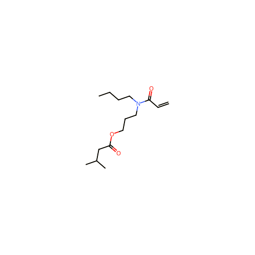 C=CC(=O)N(CCCC)CCCOC(=O)CC(C)C